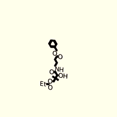 CCC(=O)OCC(C)(C)C(O)C(=O)NCCCC(=O)OCc1ccccc1